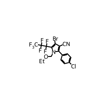 CCOCn1c(-c2ccc(Cl)cc2)c(C#N)c(Br)c1C(F)(F)C(F)(F)C(F)(F)F